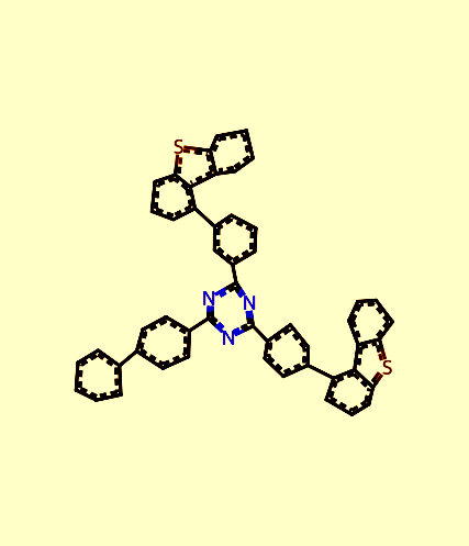 c1ccc(-c2ccc(-c3nc(-c4ccc(-c5cccc6sc7ccccc7c56)cc4)nc(-c4cccc(-c5cccc6sc7ccccc7c56)c4)n3)cc2)cc1